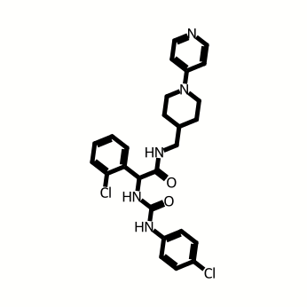 O=C(Nc1ccc(Cl)cc1)NC(C(=O)NCC1CCN(c2ccncc2)CC1)c1ccccc1Cl